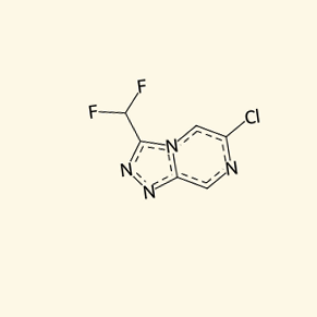 FC(F)c1nnc2cnc(Cl)cn12